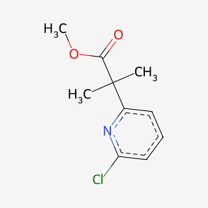 COC(=O)C(C)(C)c1cccc(Cl)n1